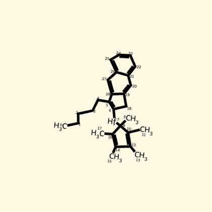 CCCCCC1=[C]([Hf][C]2(C)C(C)=C(C)C(C)=C2C)Cc2cc3ccccc3cc21